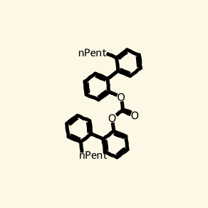 CCCCCc1ccccc1-c1ccccc1OC(=O)Oc1ccccc1-c1ccccc1CCCCC